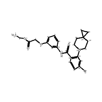 CCOC(=O)COc1cccc(NC(=O)c2ccc(Br)cc2N2CCC3(CC2)CC3)c1